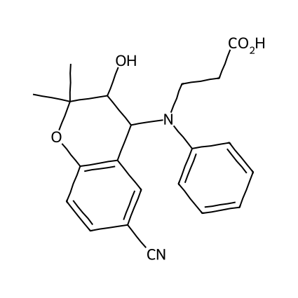 CC1(C)Oc2ccc(C#N)cc2C(N(CCC(=O)O)c2ccccc2)C1O